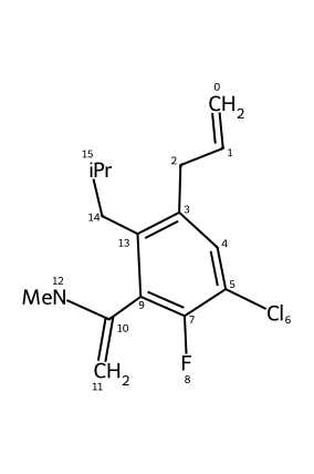 C=CCc1cc(Cl)c(F)c(C(=C)NC)c1CC(C)C